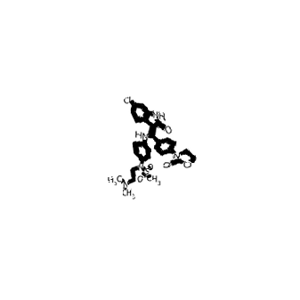 CN(C)CCN(c1ccc(NC(=C2C(=O)Nc3cc(Cl)ccc32)c2ccc(N3CCOC3=O)cc2)cc1)S(C)(=O)=O